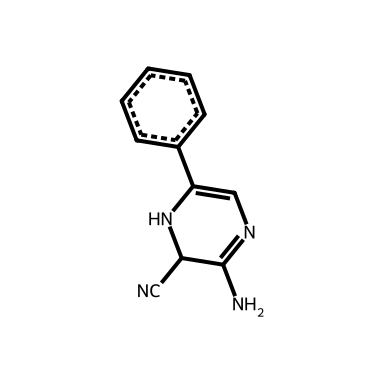 N#CC1NC(c2ccccc2)=CN=C1N